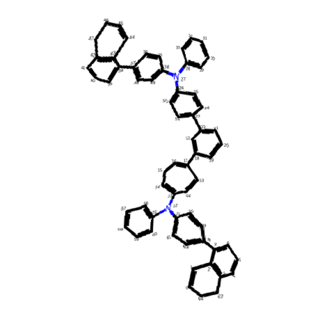 C1=Cc2c(cccc2-c2ccc(N(C3=CCC=C(c4cccc(-c5ccc(N(c6ccccc6)c6ccc(-c7cccc8c7C=CCC8)cc6)cc5)c4)C=C3)c3ccccc3)cc2)CC1